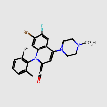 Cc1cccc(C(C)C)c1N1C(=C=O)C=C(N2CCN(C(=O)O)CC2)c2cc(F)c(Br)cc21